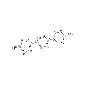 CCC1CCC(c2ccc(-c3ccc(Cl)cc3)cc2)CC1